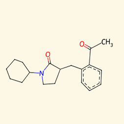 CC(=O)c1ccccc1CC1CCN(C2CCCCC2)C1=O